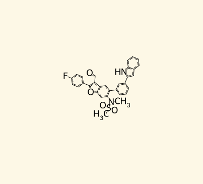 CN(c1cc2oc(-c3ccc(F)cc3)c(C=O)c2cc1-c1cccc(-c2cc3ccccc3[nH]2)c1)S(C)(=O)=O